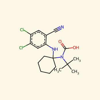 CC(C)(C)N(C(=O)O)C1(Nc2cc(Cl)c(Cl)cc2C#N)CCCCC1